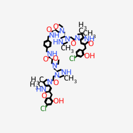 C[C@@H]1CN(CC(=O)N2CC(C)(C)c3[nH]c(=O)c(Cc4ccc(Cl)cc4O)cc32)[C@@H](CN2CCO[C@H](C(=O)NCc3ccc(CNC(=O)[C@@H]4CN(C[C@H]5CN[C@H](C)CN5CC(=O)N5CC(C)(C)c6[nH]c(=O)c(Cc7ccc(Cl)cc7O)cc65)CCO4)cc3)C2)CN1